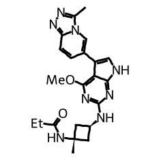 CCC(=O)N[C@]1(C)C[C@@H](Nc2nc(OC)c3c(-c4ccc5nnc(C)n5c4)c[nH]c3n2)C1